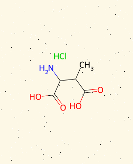 CC(C(=O)O)C(N)C(=O)O.Cl